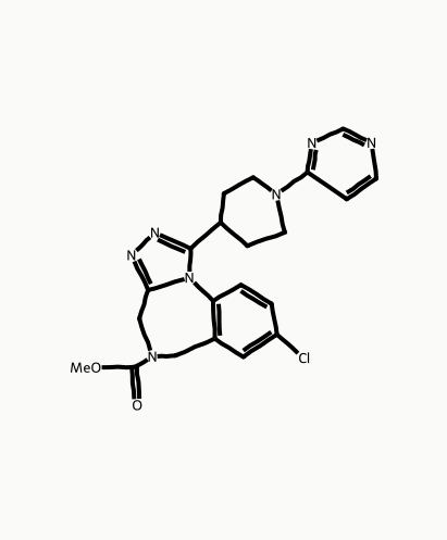 COC(=O)N1Cc2cc(Cl)ccc2-n2c(nnc2C2CCN(c3ccncn3)CC2)C1